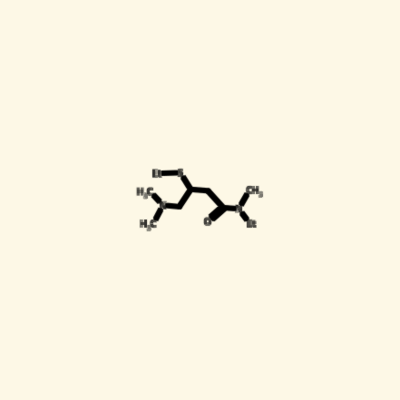 CCSC(CC(=O)N(C)CC)CN(C)C